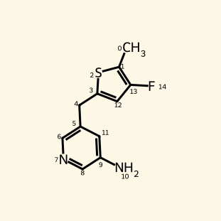 Cc1sc(Cc2cncc(N)c2)cc1F